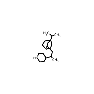 CC(CC1CC2(C(C)C)CCN1CC2)C1CCNCC1